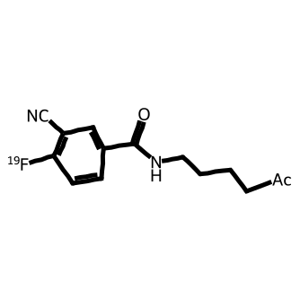 CC(=O)CCCCNC(=O)c1ccc([19F])c(C#N)c1